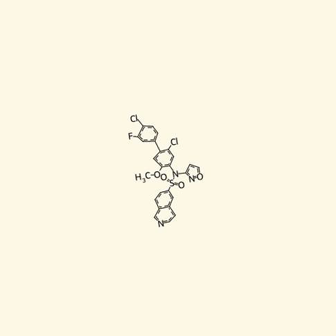 COc1cc(-c2ccc(Cl)c(F)c2)c(Cl)cc1N(c1ccon1)S(=O)(=O)c1ccc2cnccc2c1